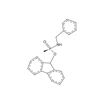 C[P@@](=O)(NCc1ccccc1)OC1c2ccccc2-c2ccccc21